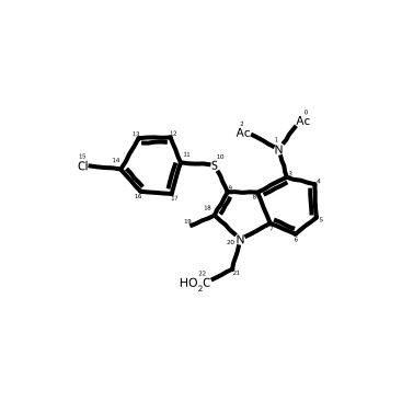 CC(=O)N(C(C)=O)c1cccc2c1c(Sc1ccc(Cl)cc1)c(C)n2CC(=O)O